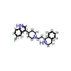 Fc1ccc2[nH]cc(C3CCN(CC[C@@H]4NCCc5ccccc54)CC3)c2c1